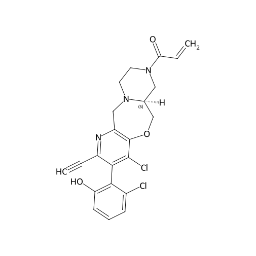 C#Cc1nc2c(c(Cl)c1-c1c(O)cccc1Cl)OC[C@@H]1CN(C(=O)C=C)CCN1C2